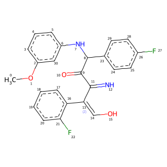 COc1cccc(NC(C(=O)C(=N)/C(=C\O)c2ccccc2F)c2ccc(F)cc2)c1